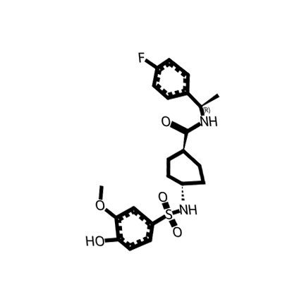 COc1cc(S(=O)(=O)N[C@H]2CC[C@H](C(=O)N[C@H](C)c3ccc(F)cc3)CC2)ccc1O